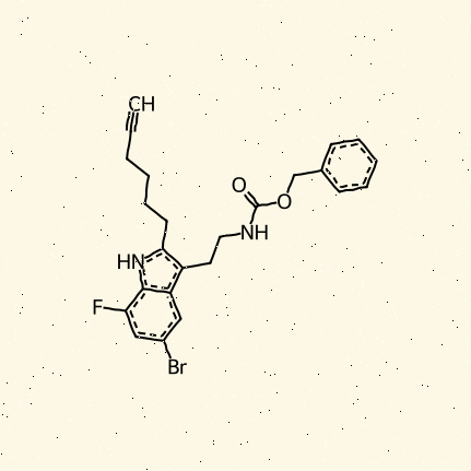 C#CCCCCc1[nH]c2c(F)cc(Br)cc2c1CCNC(=O)OCc1ccccc1